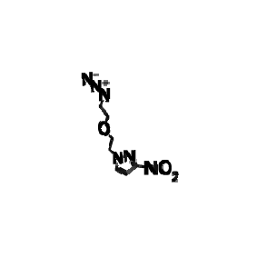 [N-]=[N+]=NCCOCCn1ccc([N+](=O)[O-])n1